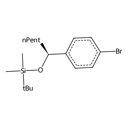 CCCCC[C@H](O[Si](C)(C)C(C)(C)C)c1ccc(Br)cc1